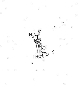 CSCC(N)c1noc(CNC(=O)NC(C=O)C(C)O)n1